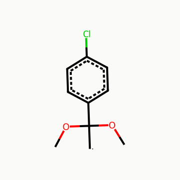 [CH2]C(OC)(OC)c1ccc(Cl)cc1